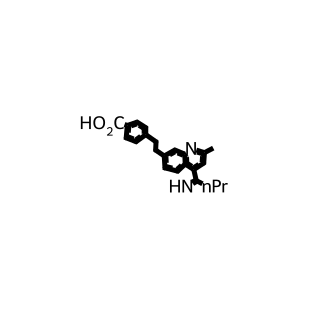 CCCC(=N)c1cc(C)nc2cc(CCc3ccc(C(=O)O)cc3)ccc12